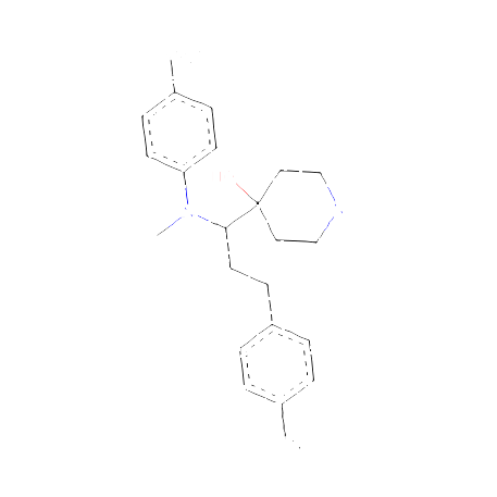 CN(c1ccc(C(=O)O)cc1)C(CCc1ccc(C#N)cc1)C1(O)CCNCC1